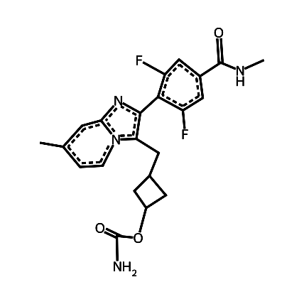 CNC(=O)c1cc(F)c(-c2nc3cc(C)ccn3c2CC2CC(OC(N)=O)C2)c(F)c1